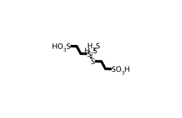 O=S(=O)(O)CCSSCCS(=O)(=O)O.S.S